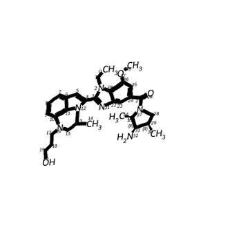 CCn1c(-c2cc3cccc4c3n2C(C)CN4CCCO)nc2cc(C(=O)N3C[C@@H](C)[C@@H](N)[C@H]3C)cc(OC)c21